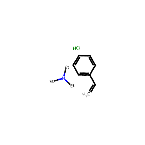 C=Cc1ccccc1.CCN(CC)CC.Cl